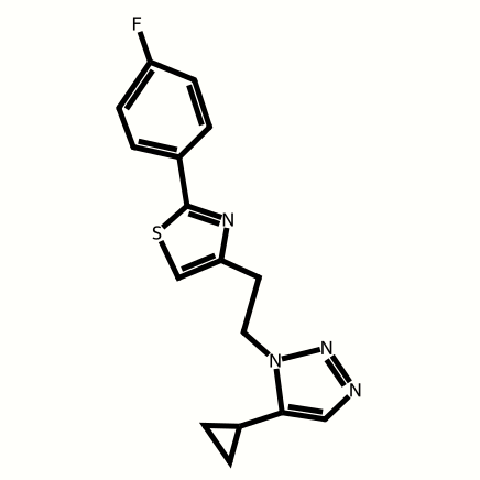 Fc1ccc(-c2nc(CCn3nncc3C3CC3)cs2)cc1